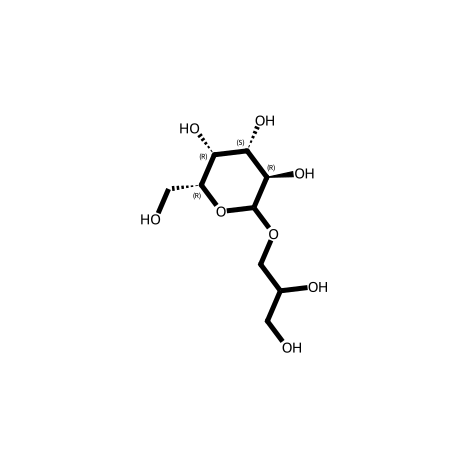 OCC(O)COC1O[C@H](CO)[C@H](O)[C@H](O)[C@H]1O